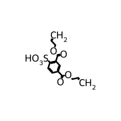 C=CCOC(=O)c1ccc(S(=O)(=O)O)c(C(=O)OCC=C)c1